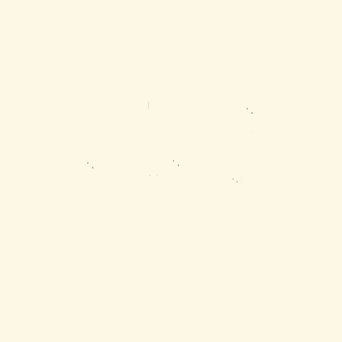 Cl.O=C1Nc2ccc(F)cc2/C1=C1/Nc2ccc(F)cc2/C1=N\OCCN1CCCC1